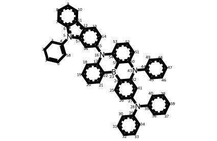 C1=CCCC(n2c3ccccc3c3ccc(N4c5ccccc5B5c6ccc(N(c7ccccc7)c7ccccc7)cc6N(c6ccccc6)c6cccc4c65)cc32)=C1